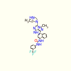 Cc1nc(-c2ccc(NC(=O)Nc3cccc(C(F)(F)F)c3)c3ccccc23)c2c(N)ncc(CN3CCN[C@@H](C)C3)n12